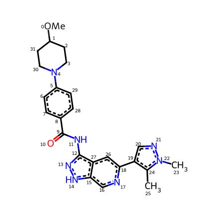 COC1CCN(c2ccc(C(=O)Nc3n[nH]c4cnc(-c5cnn(C)c5C)cc34)cc2)CC1